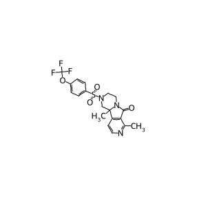 Cc1nccc2c1C(=O)N1CCN(S(=O)(=O)c3ccc(OC(F)(F)F)cc3)CC21C